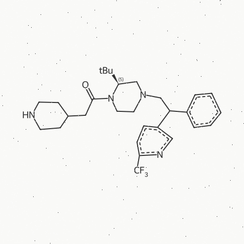 CC(C)(C)[C@H]1CN(CC(c2ccccc2)c2ccc(C(F)(F)F)nc2)CCN1C(=O)CC1CCNCC1